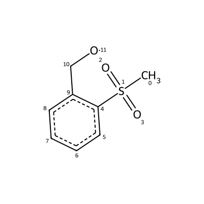 CS(=O)(=O)c1ccccc1C[O]